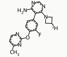 [2H]C1CN(c2ncnc(N)c2-c2ccc(Oc3nccc(C)n3)c(F)c2)C1